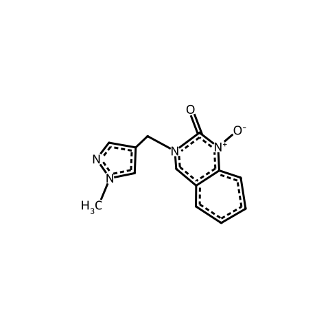 Cn1cc(Cn2cc3ccccc3[n+]([O-])c2=O)cn1